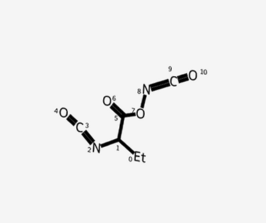 CCC(N=C=O)C(=O)ON=C=O